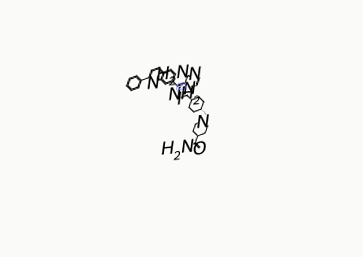 NC(=O)C1CCN(C[C@H]2CC[C@H](C(I)N3C=CN=C(N)/C3=C(/N)c3ccc4ccc(-c5ccccc5)nc4c3)CC2)CC1